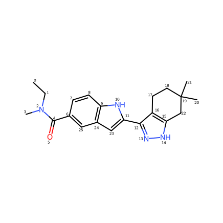 CCN(C)C(=O)c1ccc2[nH]c(-c3n[nH]c4c3CCC(C)(C)C4)cc2c1